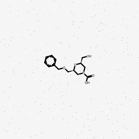 O=C(O)N1C[C@@H](COCc2ccccc2)O[C@@H](CO)C1